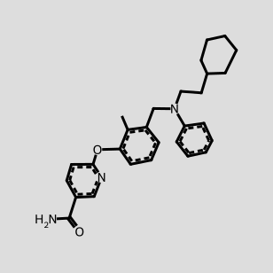 Cc1c(CN(CCC2CCCCC2)c2ccccc2)cccc1Oc1ccc(C(N)=O)cn1